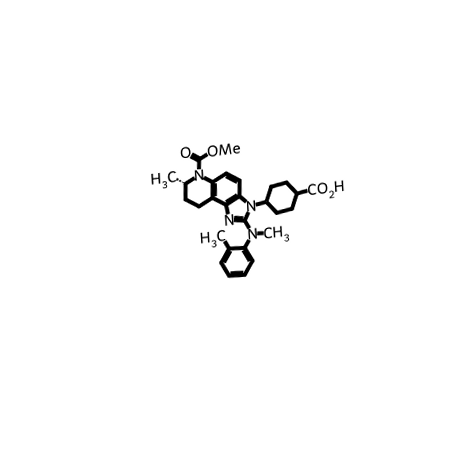 COC(=O)N1c2ccc3c(nc(N(C)c4ccccc4C)n3C3CCC(C(=O)O)CC3)c2CC[C@@H]1C